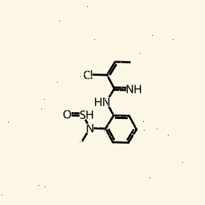 C/C=C(/Cl)C(=N)Nc1ccccc1N(C)[SH]=O